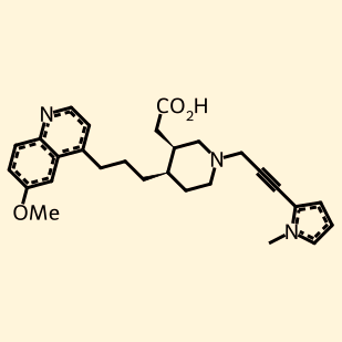 COc1ccc2nccc(CCC[C@@H]3CCN(CC#Cc4cccn4C)C[C@@H]3CC(=O)O)c2c1